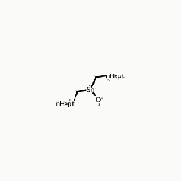 CCCCCCC[CH2][Sn+]([O-])[CH2]CCCCCCC